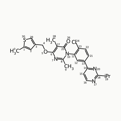 Cc1cc(COc2nc(C)n(-c3cc(-c4ccnc(C(C)C)n4)ccc3Cl)c(=O)c2C)cs1